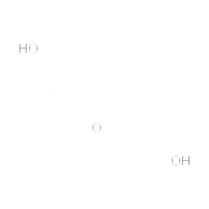 O[CH]COCCO